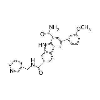 COc1cccc(-c2cc(C(N)=O)c3[nH]c4cc(C(=O)NCc5cccnc5)ccc4c3c2)c1